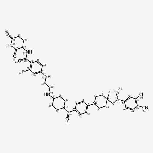 C[C@H]1CC2(CCN(c3ccc(C(=O)N4CCC(NCCNc5ccc(C(=O)NC6CCC(=O)NC6=O)c(F)c5)CC4)cc3)CC2)CN1c1ccc(C#N)c(Cl)c1